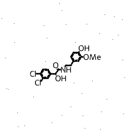 COc1cc(CCNC(=O)[C@@H](O)c2ccc(Cl)c(Cl)c2)ccc1O